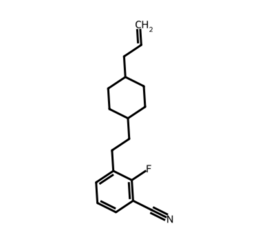 C=CCC1CCC(CCc2cccc(C#N)c2F)CC1